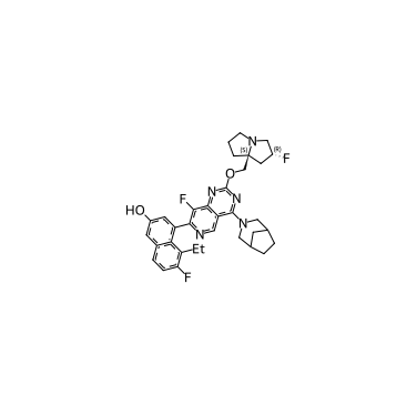 CCc1c(F)ccc2cc(O)cc(-c3ncc4c(N5CC6CCC(C6)C5)nc(OC[C@@]56CCCN5C[C@H](F)C6)nc4c3F)c12